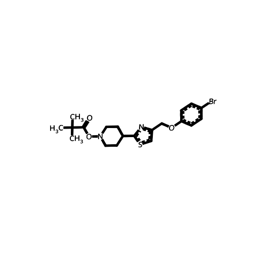 CC(C)(C)C(=O)ON1CCC(c2nc(COc3ccc(Br)cc3)cs2)CC1